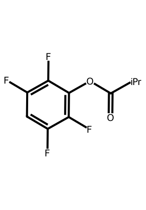 CC(C)C(=O)Oc1c(F)c(F)cc(F)c1F